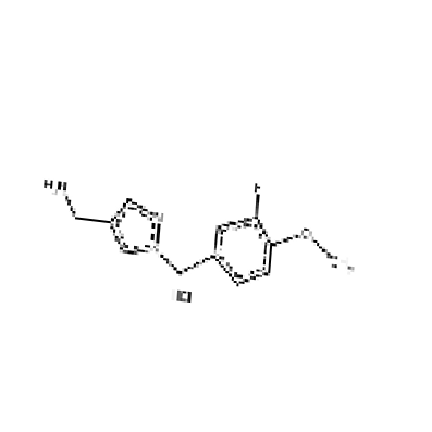 COc1ccc(Cn2cc(CN)cn2)cc1F.Cl